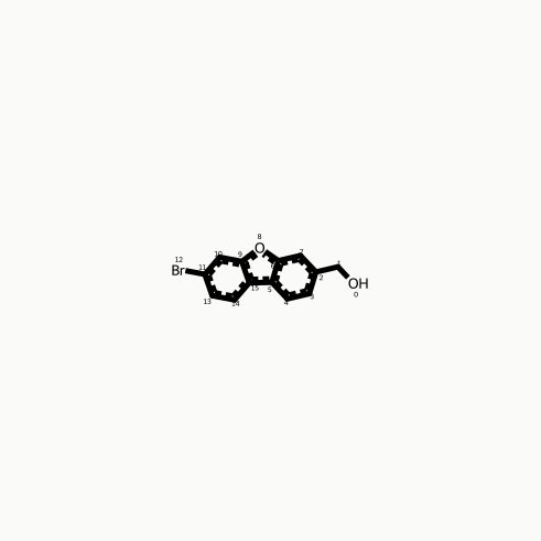 OCc1ccc2c(c1)oc1cc(Br)ccc12